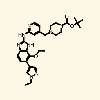 CCOc1c(-c2cnn(CC)c2)ccc2nc(Nc3cc(CN4CCN(C(=O)OC(C)(C)C)CC4)ccn3)[nH]c12